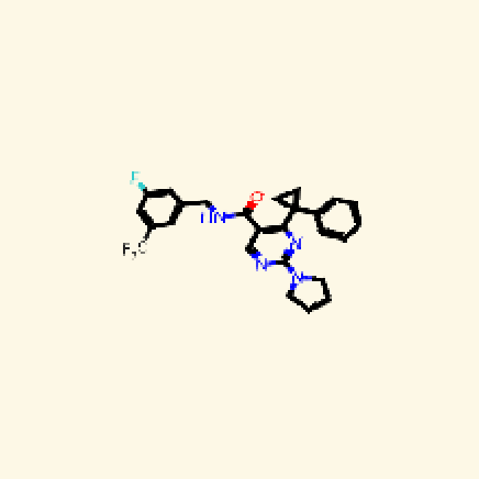 O=C(NCc1cc(F)cc(C(F)(F)F)c1)c1cnc(N2CCCC2)nc1C1(c2ccccc2)CC1